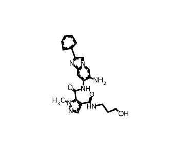 Cn1ncc(C(=O)NCCCO)c1C(=O)Nc1cc2nc(-c3ccccc3)cn2cc1N